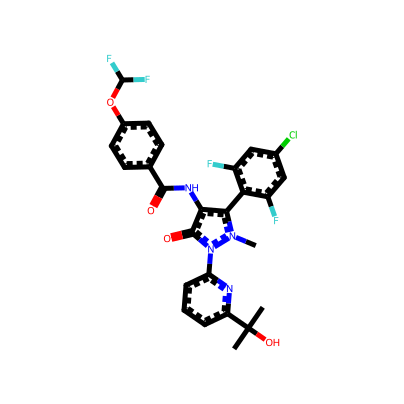 Cn1c(-c2c(F)cc(Cl)cc2F)c(NC(=O)c2ccc(OC(F)F)cc2)c(=O)n1-c1cccc(C(C)(C)O)n1